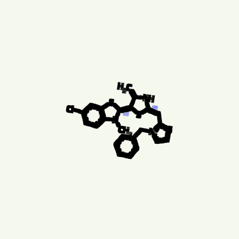 C=C1N/C(=C/c2scc[n+]2Cc2ccccc2)S/C1=C1/Sc2cc(Cl)ccc2N1C